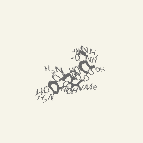 CNC1C(O[C@H]2OC(CO)[C@@H](NC(=N)N)[C@H](O)C2O)O[C@H]2CC(N)[C@@H](O[C@H]3CC(O)[C@H](N)CC3N)OC2C1O